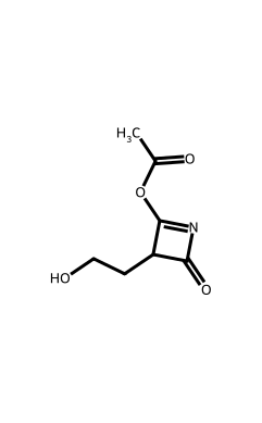 CC(=O)OC1=NC(=O)C1CCO